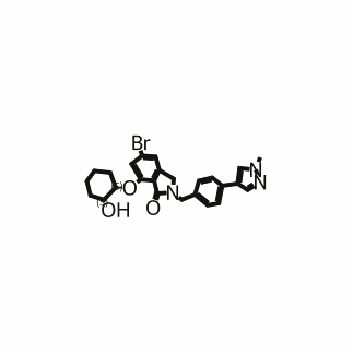 Cn1cc(-c2ccc(CN3Cc4cc(Br)cc(O[C@H]5CCCC[C@@H]5O)c4C3=O)cc2)cn1